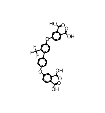 O=C(O)c1ccc(Oc2ccc(-c3ccc(Oc4ccc(C(=O)O)c(C(=O)O)c4)cc3C(F)(F)F)cc2)cc1C(=O)O